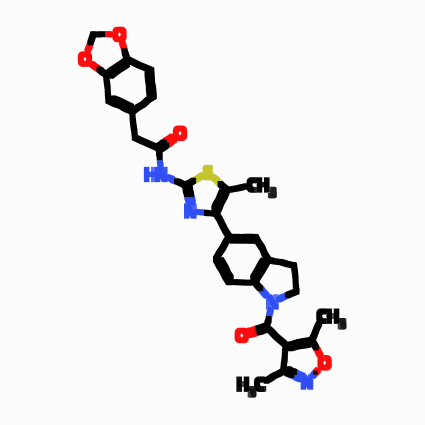 Cc1noc(C)c1C(=O)N1CCc2cc(-c3nc(NC(=O)Cc4ccc5c(c4)OCO5)sc3C)ccc21